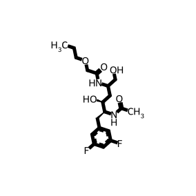 CCCOCC(=O)NC(CO)C[C@H](O)[C@H](Cc1cc(F)cc(F)c1)NC(C)=O